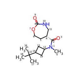 CN(C(=O)[C@@H]1CCOC(=O)NC1)C1CC(C(C)(C)C)C1